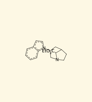 CCOC(=O)C1C2CCN1CC(n1ccc3ccccc31)C2